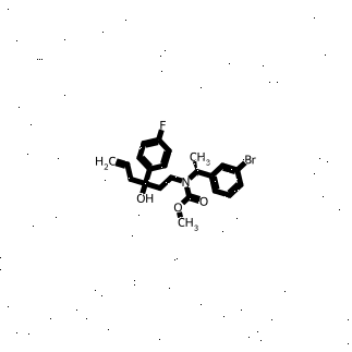 C=CCC(O)(CCN(C(=O)OC)[C@@H](C)c1cccc(Br)c1)c1ccc(F)cc1